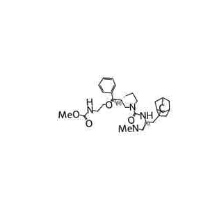 CNC[C@H](CC12CC3CC(CC1C3)C2)NC(=O)N1CCC[C@@H]([C@@H](OCCNC(=O)OC)c2ccccc2)C1